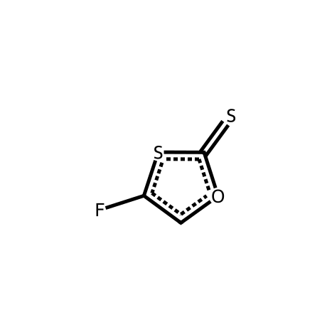 Fc1coc(=S)s1